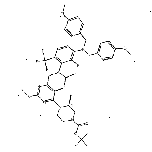 COc1ccc(CN(Cc2ccc(OC)cc2)c2ccc(C(F)(F)F)c(C3Cc4nc(SC)nc(N5CCN(C(=O)OC(C)(C)C)C[C@@H]5C)c4CC3C)c2F)cc1